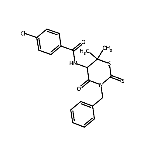 CC1(C)SC(=S)N(Cc2ccccc2)C(=O)C1NC(=O)c1ccc(Cl)cc1